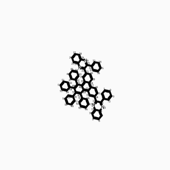 c1ccc(-c2nc3ccccc3nc2-c2ccc3c4ccc(-c5nc6ccccc6nc5-c5ccccc5)cc4c4c(-c5ccccc5)c(-c5ccccc5)c(-c5ccccc5)c(-c5ccccc5)c4c3c2)cc1